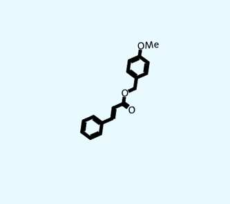 COc1ccc(COC(=O)C=Cc2ccccc2)cc1